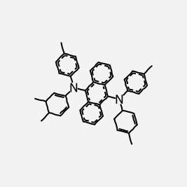 CC1=CCC(N(c2ccc(C)cc2)c2c3ccccc3c(N(C3=CC(C)C(C)C=C3)c3ccc(C)cc3)c3ccccc23)C=C1